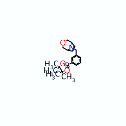 CC1(C)OB(c2cccc(CN3C4CCC3COC4)c2)OC1(C)C